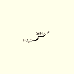 CCCCC=CC(=O)O.[SnH2]